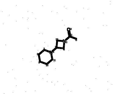 CC(=O)N1CC(N2CCCCC2)C1